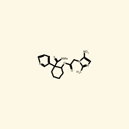 CNC(=S)C1(c2cccnc2)CCCCC1OC(=O)Cn1c([N+](=O)[O-])cnc1C